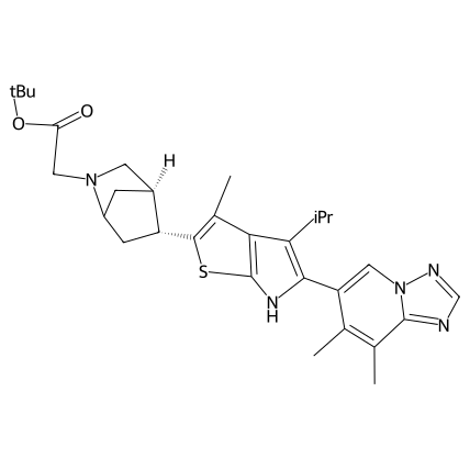 Cc1c(-c2[nH]c3sc([C@@H]4CC5C[C@H]4CN5CC(=O)OC(C)(C)C)c(C)c3c2C(C)C)cn2ncnc2c1C